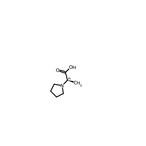 C[C@H](C(=O)O)N1CCCC1